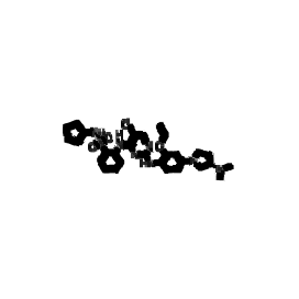 CCOc1cc(N2CC[C@H](N(C)C)C2)ccc1Nc1ncc(Cl)c(Nc2ccccc2S(=O)(=O)NC2CCCC2)n1